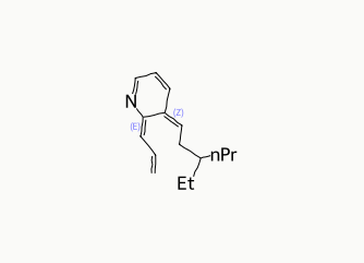 C=C/C=c1/nccc/c1=C/CC(CC)CCC